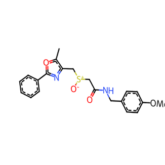 COc1ccc(CNC(=O)C[S+]([O-])Cc2nc(-c3ccccc3)oc2C)cc1